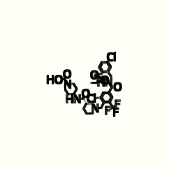 CCS(=O)(=O)c1ccc(Cl)cc1CNC(=O)c1cc(Cl)c(CN2CCC[C@H](C(=O)NC3CCN(C(=O)O)CC3)C2)c(C(F)(F)F)c1